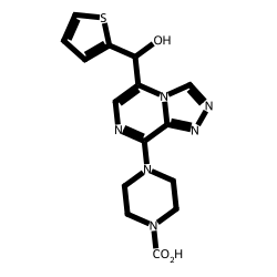 O=C(O)N1CCN(c2ncc(C(O)c3cccs3)n3cnnc23)CC1